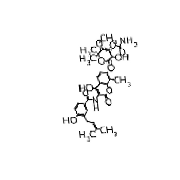 CO[C@@H]1[C@H](OC(N)=O)C(O)[C@H](Oc2ccc3c(O)c(NC(=O)c4ccc(O)c(CC=C(C)C)c4)c(=O)oc3c2C)OC1(C)C